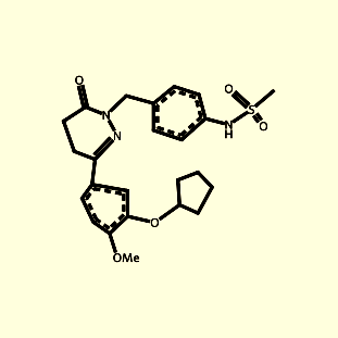 COc1ccc(C2=NN(Cc3ccc(NS(C)(=O)=O)cc3)C(=O)CC2)cc1OC1CCCC1